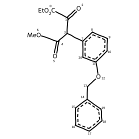 CCOC(=O)C(=O)C(C(=O)OC)c1cccc(OCc2ccccc2)c1